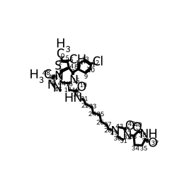 Cc1sc2c(c1C)C(c1ccc(Cl)cc1)=N[C@@H](CC(=O)NCCCCCCCCN1CCN(C3CCC(=O)NC3=O)C(=O)C1)c1nnc(C)n1-2